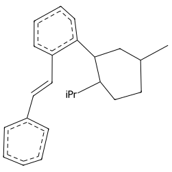 CC1CCC(C(C)C)C(c2ccccc2/C=C/c2ccccc2)C1